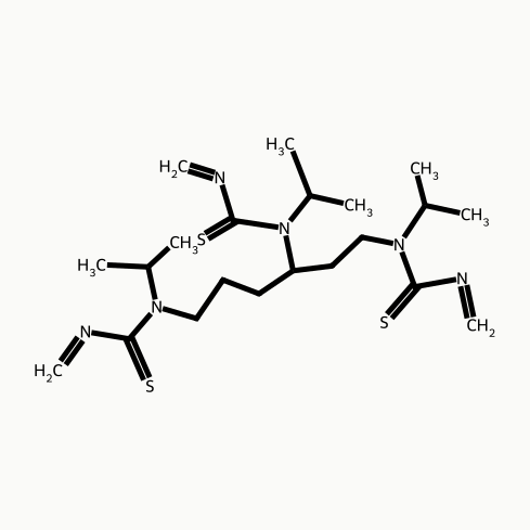 C=NC(=S)N(CCCC(CCN(C(=S)N=C)C(C)C)N(C(=S)N=C)C(C)C)C(C)C